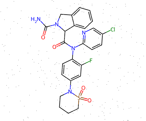 NC(=O)N1Cc2ccccc2C1C(=O)N(c1ccc(Cl)cn1)c1ccc(N2CCCCS2(=O)=O)cc1F